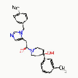 Cc1cccc(C2(O)CCN(C(=O)Cc3cncn3Cc3ccc(C#N)cc3)CC2)c1